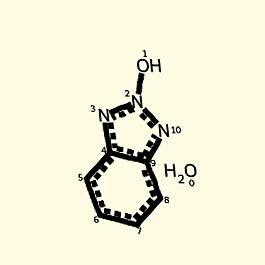 O.On1nc2ccccc2n1